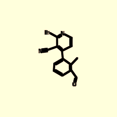 Cc1c(C=O)cccc1-c1ccnc(Br)c1C#N